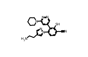 N#Cc1ccc(-n2cc(CCN)cn2)c(-c2cnnc(N3CCCCC3)c2)c1S